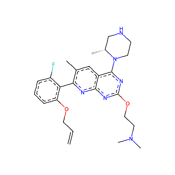 C=CCOc1cccc(F)c1-c1nc2nc(OCCN(C)C)nc(N3CCNC[C@H]3C)c2cc1C